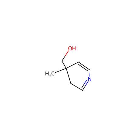 CC1(CO)C=CN=CC1